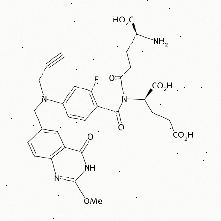 C#CCN(Cc1ccc2nc(OC)[nH]c(=O)c2c1)c1ccc(C(=O)N(C(=O)CC[C@H](N)C(=O)O)[C@H](CCC(=O)O)C(=O)O)c(F)c1